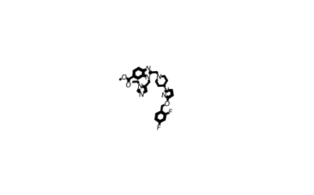 CCn1cncc1Cn1c(CN2CCC(n3ccc(OCc4ccc(F)cc4F)n3)CC2)nc2ccc(C(=O)OC)cc21